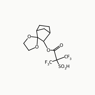 O=C(OC1C2CCC(C2)C12OCCO2)C(C(F)(F)F)(C(F)(F)F)S(=O)(=O)O